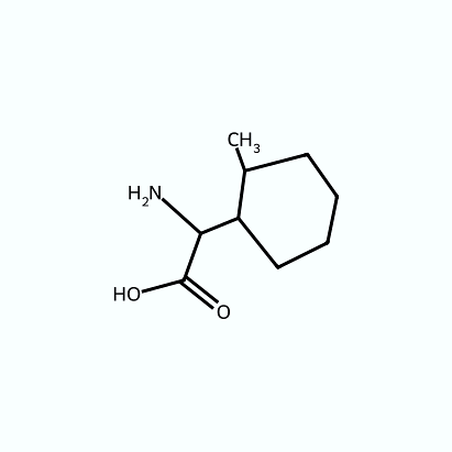 CC1CCCCC1C(N)C(=O)O